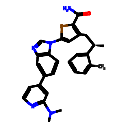 C[C@@H](Cc1cc(-n2cnc3cc(-c4ccnc(N(C)C)c4)ccc32)sc1C(N)=O)c1ccccc1C(F)(F)F